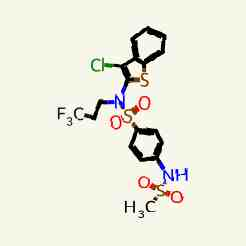 CS(=O)(=O)Nc1ccc(S(=O)(=O)N(CCC(F)(F)F)c2sc3ccccc3c2Cl)cc1